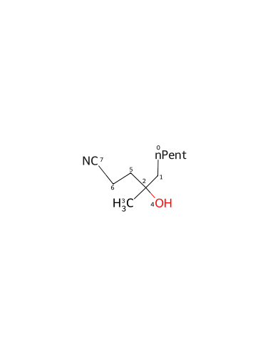 CCCCCCC(C)(O)CCC#N